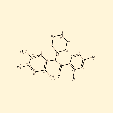 CC(=O)c1ccc(C(=O)C(c2nc(C)c(C)nc2C)N2CCNCC2)c(O)c1